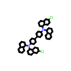 Clc1ccc2c(N(c3ccc(-c4ccc(N(c5cccc6ccccc56)c5cccc6cc(Cl)ccc56)cc4)cc3)c3cccc4ccccc34)cccc2c1